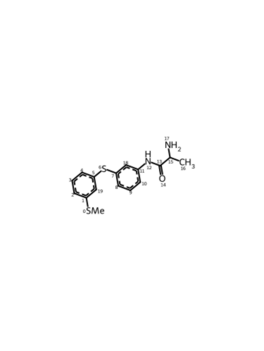 CSc1cccc(Sc2cccc(NC(=O)C(C)N)c2)c1